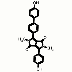 CN1C(=O)C2=C(c3ccc(-c4ccc(O)cc4)cc3)N(C)C(=O)C2=C1c1ccc(O)cc1